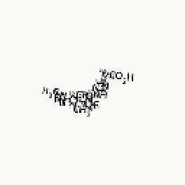 Cc1cc(-c2nnn(C)n2)cc(C)c1-c1ccc(F)c2c1CC[C@H]2Nc1cnc([C@H]2C[C@@H]2C(=O)O)cn1